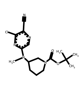 CN(c1cnc(C#N)c(Cl)n1)C1CCCN(C(=O)OC(C)(C)C)C1